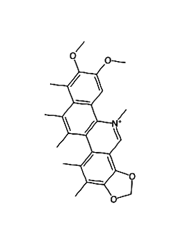 COc1cc2c(c(C)c1OC)c(C)c(C)c1c3c(C)c(C)c4c(c3c[n+](C)c21)OCO4